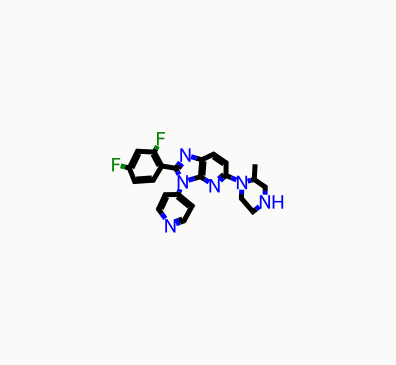 CC1CNCCN1c1ccc2nc(-c3ccc(F)cc3F)n(-c3ccncc3)c2n1